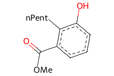 CCCCCc1c(O)cccc1C(=O)OC